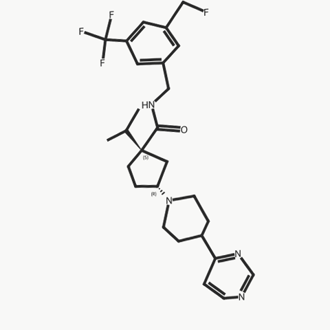 CC(C)[C@]1(C(=O)NCc2cc(CF)cc(C(F)(F)F)c2)CC[C@@H](N2CCC(c3ccncn3)CC2)C1